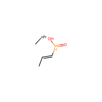 C/C=C/[PH](=O)O.CCCC